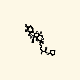 C#C[C@@]1(O)[C@@H]2O[P@](=O)(OCC[C@H](C)C(=O)OC3CCCC3)OC[C@H]2O[C@H]1n1ccc(=O)[nH]c1=O